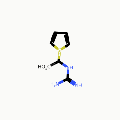 N=C(N)NC(C(=O)O)[SH]1C=CC=C1